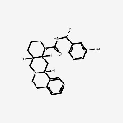 C[C@@H](NC(=O)N1CCC[C@H]2CN3CCc4ccccc4[C@H]3C[C@H]21)c1cccc(O)c1